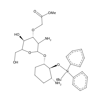 COC(=O)CO[C@@H]1C(N)C(O[C@H]2CCC[C@@H](N)[C@@H]2O[Si](c2ccccc2)(c2ccccc2)C(C)(C)C)OC(CO)[C@H]1O